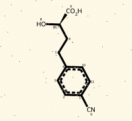 N#Cc1ccc(CC[C@@H](O)C(=O)O)cc1